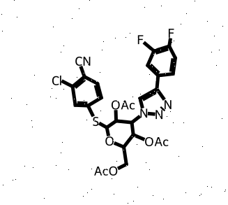 CC(=O)OCC1OC(Sc2ccc(C#N)c(Cl)c2)C(OC(C)=O)C(n2cc(-c3ccc(F)c(F)c3)nn2)C1OC(C)=O